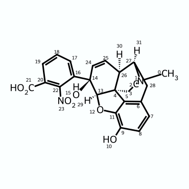 CN1CC[C@]23c4c5ccc(O)c4O[C@H]2[C@](O)(c2cccc(C(=O)O)c2[N+](=O)[O-])C=C[C@H]3[C@H]1C5